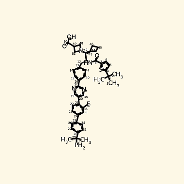 CC(C)(C)c1ccc(C(=O)N[C@@H](Cc2ccc(-c3ncc(-c4ccc(-c5ccc(C(C)(C)P)cc5)cc4F)cn3)cc2)C(=C2CCC2)N2CC(C(=O)O)C2)s1